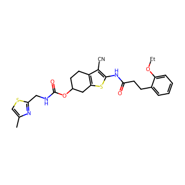 CCOc1ccccc1CCC(=O)Nc1sc2c(c1C#N)CCC(OC(=O)NCc1nc(C)cs1)C2